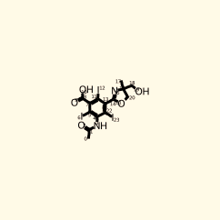 CC(=O)Nc1c(I)c(C(=O)O)c(I)c(C2=NC(C)(CO)CO2)c1I